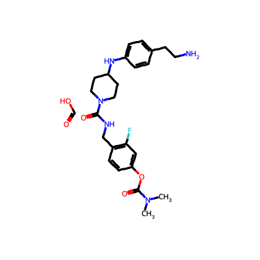 CN(C)C(=O)Oc1ccc(CNC(=O)N2CCC(Nc3ccc(CCN)cc3)CC2)c(F)c1.O=CO